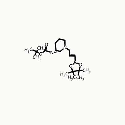 CC(C)(C)OC(=O)NC1CCCN(C/C=C/B2OC(C)(C)C(C)(C)O2)C1